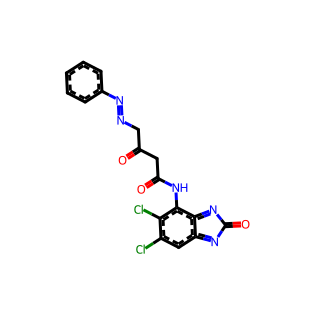 O=C(CN=Nc1ccccc1)CC(=O)Nc1c(Cl)c(Cl)cc2c1=NC(=O)N=2